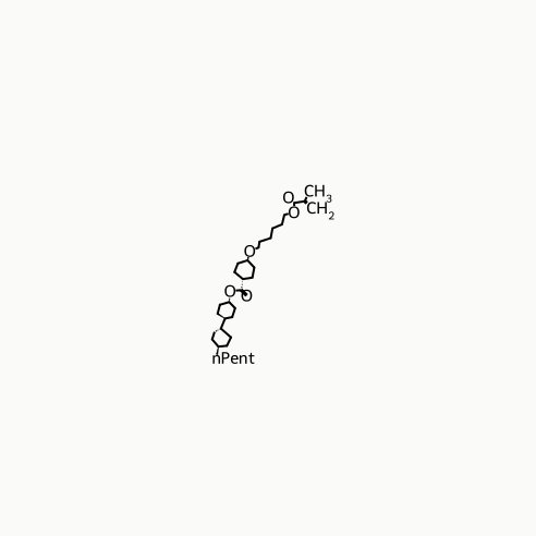 C=C(C)C(=O)OCCCCCCO[C@H]1CC[C@H](C(=O)O[C@H]2CC[C@H]([C@H]3CC[C@H](CCCCC)CC3)CC2)CC1